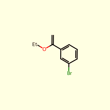 C=C(OCC)c1cccc(Br)c1